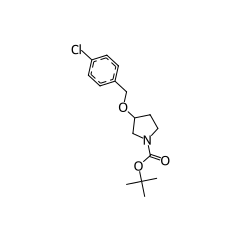 CC(C)(C)OC(=O)N1CCC(OCc2ccc(Cl)cc2)C1